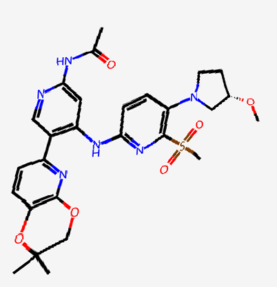 CO[C@H]1CCN(c2ccc(Nc3cc(NC(C)=O)ncc3-c3ccc4c(n3)OCC(C)(C)O4)nc2S(C)(=O)=O)C1